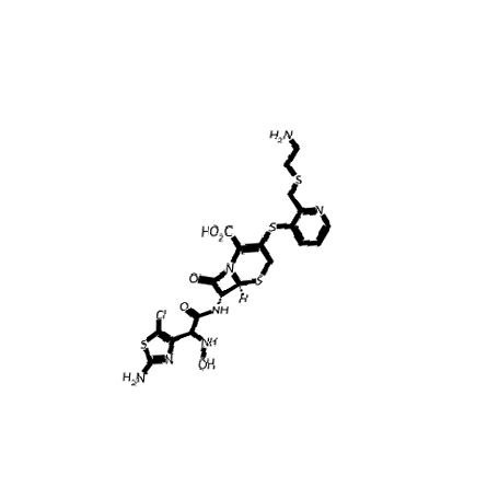 NCCSCc1ncccc1SC1=C(C(=O)O)N2C(=O)[C@@H](NC(=O)C(NO)c3nc(N)sc3Cl)[C@@H]2SC1